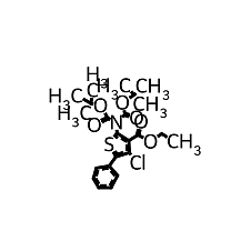 CCOC(=O)c1c(N(C(=O)OC(C)(C)C)C(=O)OC(C)(C)C)sc(-c2ccccc2)c1Cl